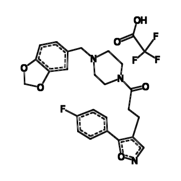 O=C(CCc1cnoc1-c1ccc(F)cc1)N1CCN(Cc2ccc3c(c2)OCO3)CC1.O=C(O)C(F)(F)F